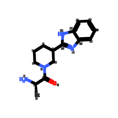 CC[C@@H](N)C(=O)N1CCCC(c2nc3ccccc3[nH]2)C1